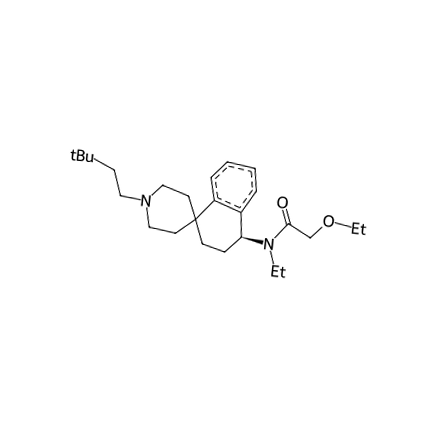 CCOCC(=O)N(CC)[C@H]1CCC2(CCN(CCC(C)(C)C)CC2)c2ccccc21